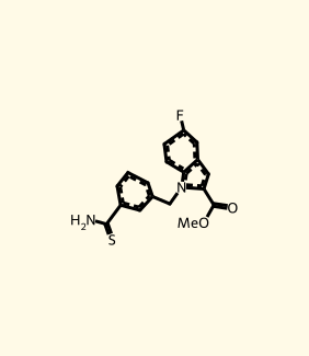 COC(=O)c1cc2cc(F)ccc2n1Cc1cccc(C(N)=S)c1